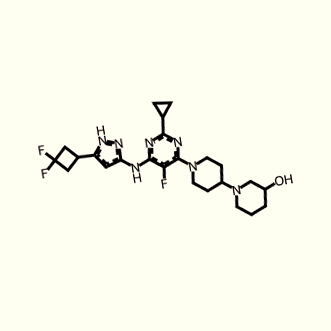 OC1CCCN(C2CCN(c3nc(C4CC4)nc(Nc4cc(C5CC(F)(F)C5)[nH]n4)c3F)CC2)C1